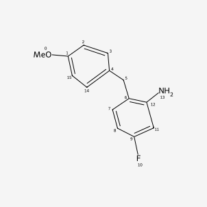 COc1ccc(Cc2ccc(F)cc2N)cc1